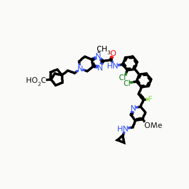 COC1=C(CNC2CC2)C=NC(/C(F)=C/c2cccc(-c3cccc(NC(=O)c4nc5c(n4C)CCN(CCC46CCC(C(=O)O)(CC4)C6)C5)c3Cl)c2Cl)C1